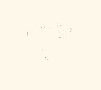 O=C(N[C@@H]1CN2CCC1CC2)c1ccc([C@@]2(c3ccc(OCc4ccccn4)cc3)C[C@@H]3CC[C@H]2C3)cc1